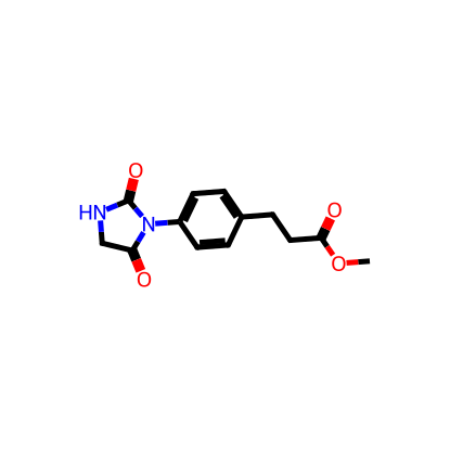 COC(=O)CCc1ccc(N2C(=O)CNC2=O)cc1